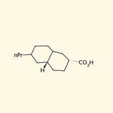 CCCC1CCC2C[C@H](C(=O)O)CC[C@@H]2C1